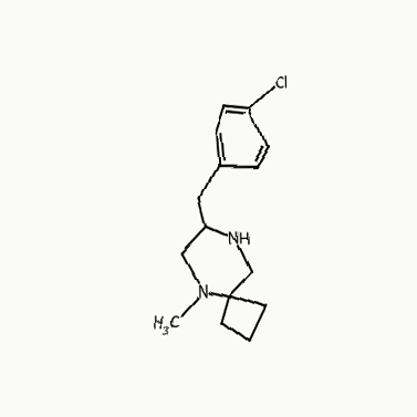 CN1CC(Cc2ccc(Cl)cc2)NCC12CCC2